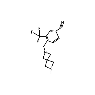 N#Cc1ccc(CN2CC3(CNC3)C2)c(C(F)(F)F)c1